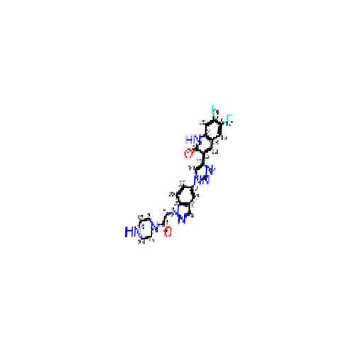 O=C(Cn1ncc2cc(-n3cc(-c4cc5cc(F)c(F)cc5[nH]c4=O)nn3)ccc21)N1CCNCC1